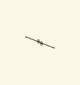 CC(C)CCCCCCCCCCCCCCC(=O)OCCOC(=O)CCCCCCCCCCCCCCC(C)C